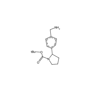 CC(C)(C)OC(=O)N1CCCC1c1ccc(CN)cc1